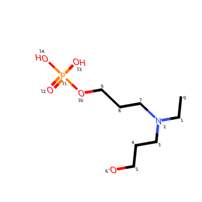 CCN(CCC[O])CCCOP(=O)(O)O